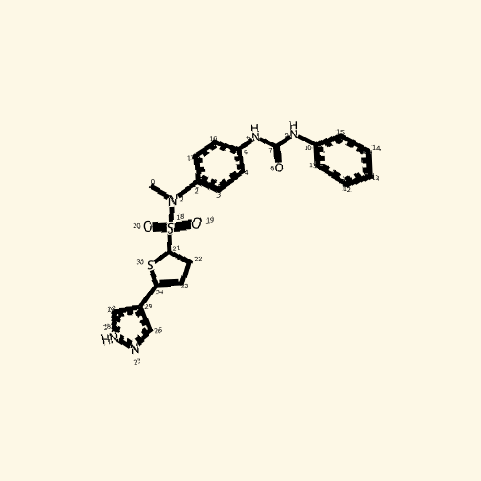 CN(c1ccc(NC(=O)Nc2ccccc2)cc1)S(=O)(=O)C1CC=C(c2cn[nH]c2)S1